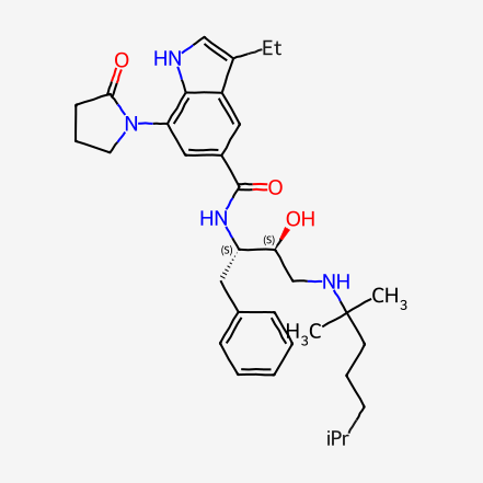 CCc1c[nH]c2c(N3CCCC3=O)cc(C(=O)N[C@@H](Cc3ccccc3)[C@@H](O)CNC(C)(C)CCCC(C)C)cc12